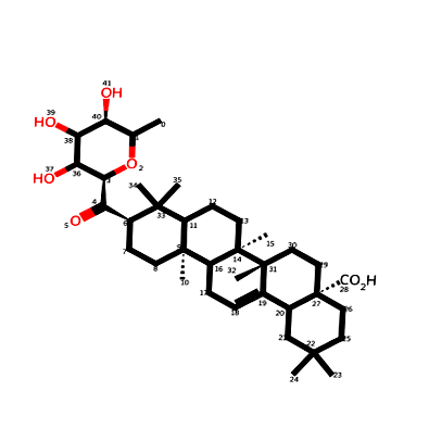 CC1O[C@@H](C(=O)[C@@H]2CC[C@@]3(C)C(CC[C@]4(C)C3CC=C3C5CC(C)(C)CC[C@]5(C(=O)O)CC[C@]34C)C2(C)C)C(O)C(O)[C@H]1O